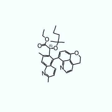 CCCC(C)(C)O[C@H](C(=O)OCC)c1c(C)cc2nc(C)ccc2c1-c1ccc2c3c(ccnc13)CCO2